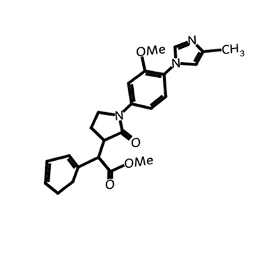 COC(=O)C(C1=CC=CCC1)C1CCN(c2ccc(-n3cnc(C)c3)c(OC)c2)C1=O